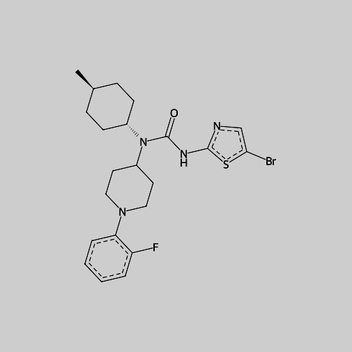 C[C@H]1CC[C@H](N(C(=O)Nc2ncc(Br)s2)C2CCN(c3ccccc3F)CC2)CC1